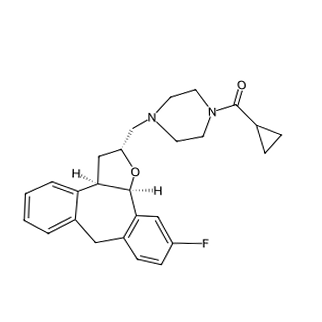 O=C(C1CC1)N1CCN(C[C@H]2C[C@@H]3c4ccccc4Cc4ccc(F)cc4[C@@H]3O2)CC1